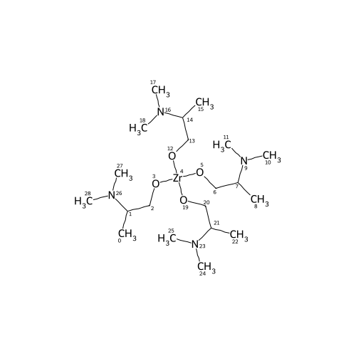 CC(C[O][Zr]([O]CC(C)N(C)C)([O]CC(C)N(C)C)[O]CC(C)N(C)C)N(C)C